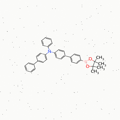 CC1(C)OB(c2ccc(-c3ccc(N(c4ccccc4)c4ccc(-c5ccccc5)cc4)cc3)cc2)OC1(C)C